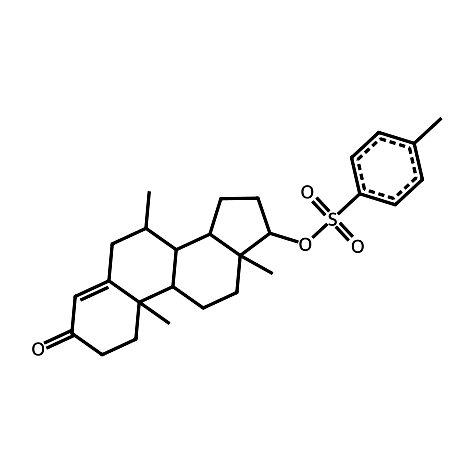 Cc1ccc(S(=O)(=O)OC2CCC3C4C(C)CC5=CC(=O)CCC5(C)C4CCC23C)cc1